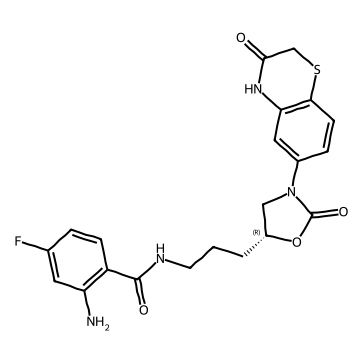 Nc1cc(F)ccc1C(=O)NCCC[C@@H]1CN(c2ccc3c(c2)NC(=O)CS3)C(=O)O1